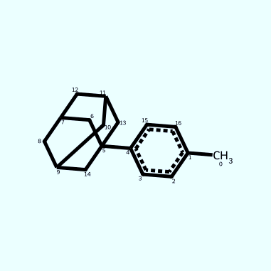 Cc1ccc(C23CC4CC(CC(C4)C2)C3)cc1